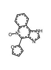 [O-][n+]1c(-c2ccco2)c2nc[nH]c2c2ccccc21